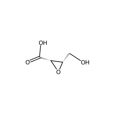 O=C(O)[C@H]1O[C@H]1CO